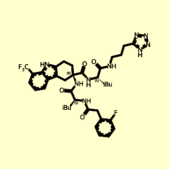 CCC(C)[C@H](NC(=O)Cc1ccccc1F)C(=O)N[C@]1(C(=O)N[C@H](C(=O)NCCCc2nnn[nH]2)C(C)CC)CCc2[nH]c3c(C(F)(F)F)cccc3c2C1